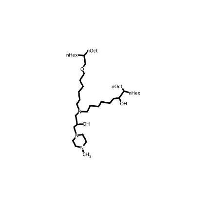 CCCCCCCCC(CCCCCC)COCCCCCCN(CCCCCCC(O)C(CCCCCC)CCCCCCCC)CC(O)CN1CCN(C)CC1